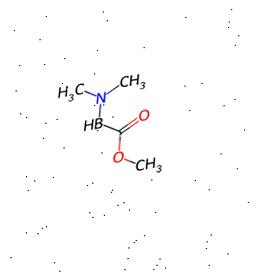 COC(=O)BN(C)C